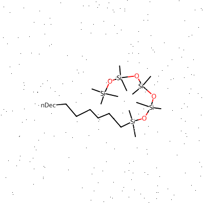 [CH2]CCCCCCCCCCCCCCC[Si](C)(C)O[Si](C)(C)O[Si](C)(C)O[Si](C)(C)O[Si](C)(C)C